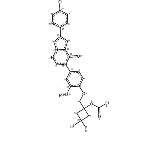 CCC(=O)OC1(COc2ccc(-n3cnn4cc(-c5ccc(Cl)cn5)cc4c3=O)cc2OC)CC(F)(F)C1